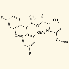 COc1cc(F)ccc1C(c1ccc(F)cc1OC)[C@H](C)OC(=O)[C@H](C)NC(=O)OC(C)(C)C